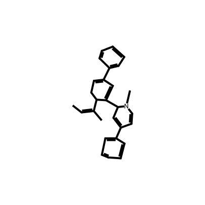 C/C=C(/C)C1CC=C(c2ccccc2)C=C1C1C=C(c2ccccc2)C=CN1C